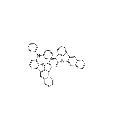 c1ccc(N(c2ccccc2)c2cccc3c4cc5ccccc5c5c6cc7c(cc6n(c23)c45)c2cccc3c4cc5ccccc5cc4n7c32)cc1